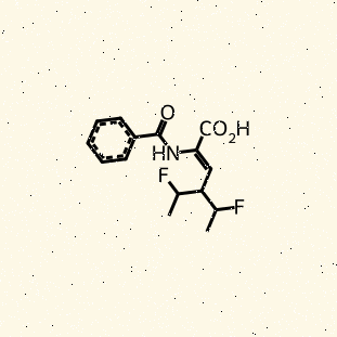 CC(F)C(/C=C(\NC(=O)c1ccccc1)C(=O)O)C(C)F